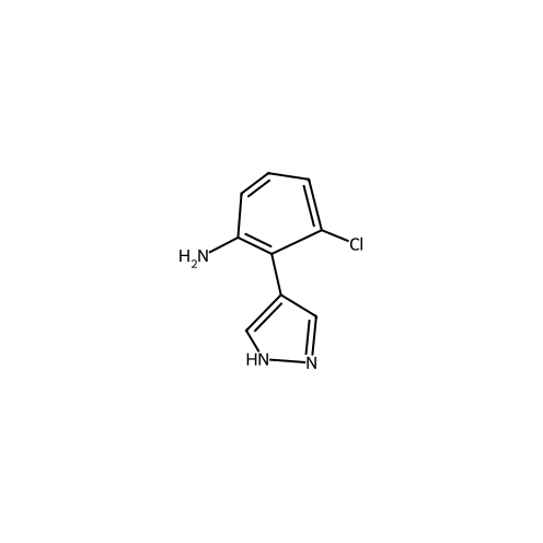 Nc1cccc(Cl)c1-c1cn[nH]c1